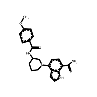 COc1ccc(C(=O)NC2CCCN(c3ccc(C(N)=O)c4[nH]ccc34)C2)cc1